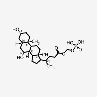 C[C@H](CCC(=O)OCOP(=O)(O)O)C1CCC2[C@H]3C(CC[C@@]21C)[C@@]1(C)CC[C@@H](O)C[C@H]1C[C@@H]3O